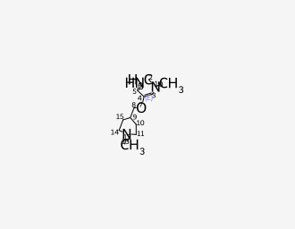 CN(C)/C=C(\C=N)OCC1CCN(C)CC1